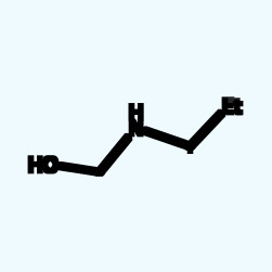 CC[CH]NCO